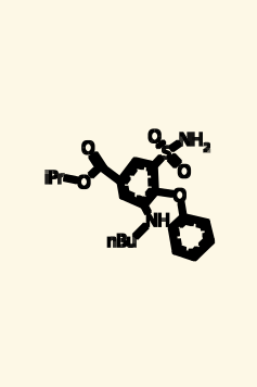 CCCCNc1cc(C(=O)OC(C)C)cc(S(N)(=O)=O)c1Oc1ccccc1